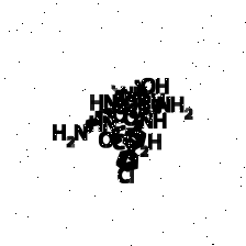 C[C@H](NC(=O)[C@@H](NC(=O)[C@H](CCN)NC(=O)c1ccc(-c2ccc(Cl)cc2)cc1)[C@@H](C)O)C(=O)N[C@@H](CCCCN)C(=O)N[C@@H](C)C(=O)C(=O)O